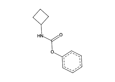 O=C(NC1CCC1)Oc1ccccc1